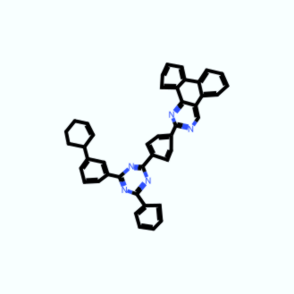 C1=CC(c2cccc(-c3nc(-c4ccccc4)nc(-c4ccc(-c5ncc6c7ccccc7c7ccccc7c6n5)cc4)n3)c2)CCC1